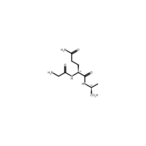 C[C@H](NC(=O)[C@H](CCC(N)=O)NC(=O)CN)C(=O)O